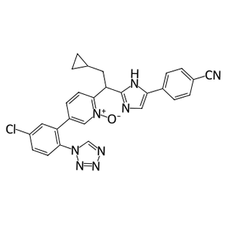 N#Cc1ccc(-c2cnc(C(CC3CC3)c3ccc(-c4cc(Cl)ccc4-n4cnnn4)c[n+]3[O-])[nH]2)cc1